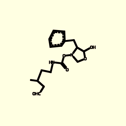 CC(CC=O)CCNC(=O)ON1COC(O)C1Cc1ccccc1